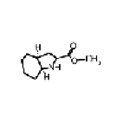 COC(=O)[C@@H]1C[C@@H]2CCCC[C@@H]2N1